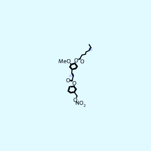 C/C=C\CCCC(=O)Oc1ccc(/C=C/C(=O)Oc2cccc(CO[N+](=O)[O-])c2)cc1OC